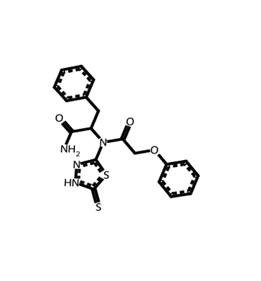 NC(=O)C(Cc1ccccc1)N(C(=O)COc1ccccc1)c1n[nH]c(=S)s1